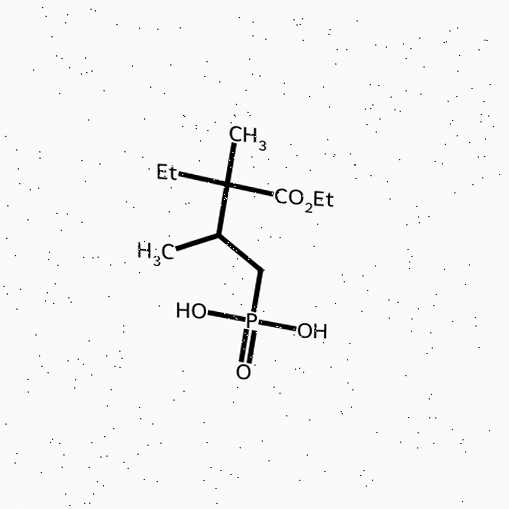 CCOC(=O)C(C)(CC)C(C)CP(=O)(O)O